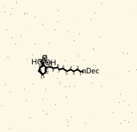 CCCCCCCCCCCCCCCCCCCCc1ccccc1P(=O)(O)O